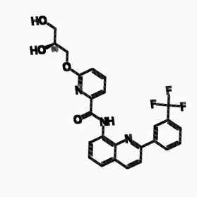 O=C(Nc1cccc2ccc(-c3cccc(C(F)(F)F)c3)nc12)c1cccc(OC[C@@H](O)CO)n1